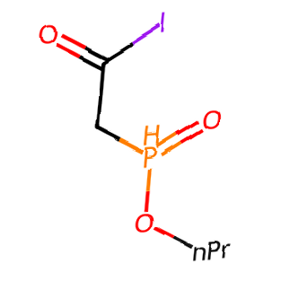 CCCO[PH](=O)CC(=O)I